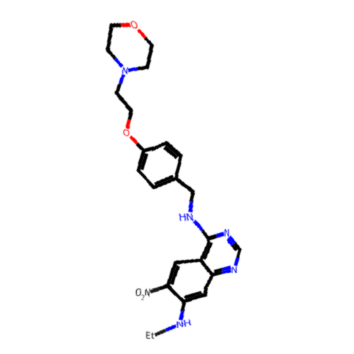 CCNc1cc2ncnc(NCc3ccc(OCCN4CCOCC4)cc3)c2cc1[N+](=O)[O-]